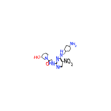 NC1CCC(CNc2nc(NCC(=O)N3CCCC(O)C3)ncc2[N+](=O)[O-])CC1